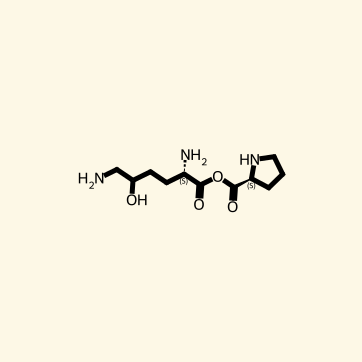 NCC(O)CC[C@H](N)C(=O)OC(=O)[C@@H]1CCCN1